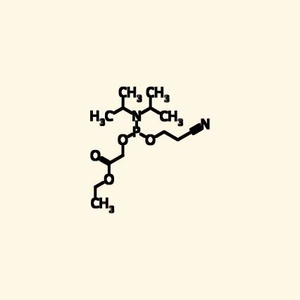 CCOC(=O)COP(OCCC#N)N(C(C)C)C(C)C